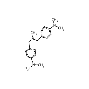 CN(Cc1ccc(N(C)C)cc1)Cc1ccc(N(C)C)cc1